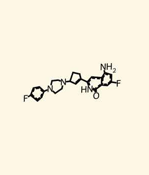 Nc1cc(F)cc2c(=O)[nH]c(C3=CC(N4CCN(c5ccc(F)cc5)CC4)CC3)cc12